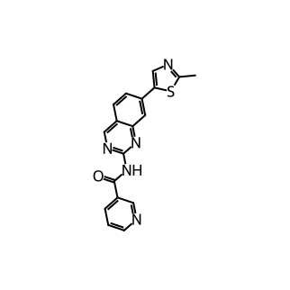 Cc1ncc(-c2ccc3cnc(NC(=O)c4cccnc4)nc3c2)s1